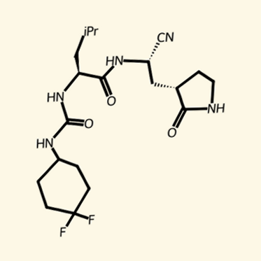 CC(C)C[C@H](NC(=O)NC1CCC(F)(F)CC1)C(=O)N[C@H](C#N)C[C@@H]1CCNC1=O